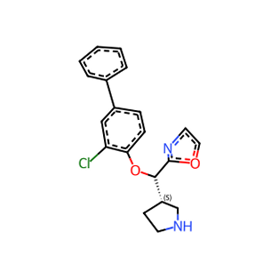 Clc1cc(-c2ccccc2)ccc1OC(c1ncco1)[C@H]1CCNC1